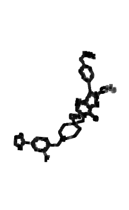 CC(=O)NCc1ccc(-c2c3ncn(CC4(O)CCN(Cc5ccc(-c6ncco6)cc5F)CC4)c(=O)c3nn2C)cc1